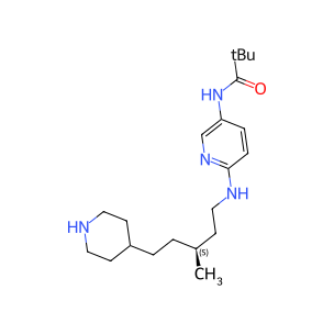 C[C@H](CCNc1ccc(NC(=O)C(C)(C)C)cn1)CCC1CCNCC1